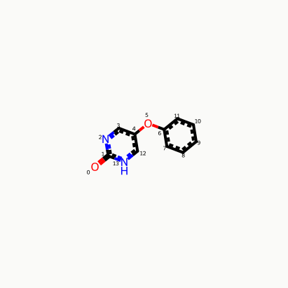 O=c1ncc(Oc2ccccc2)c[nH]1